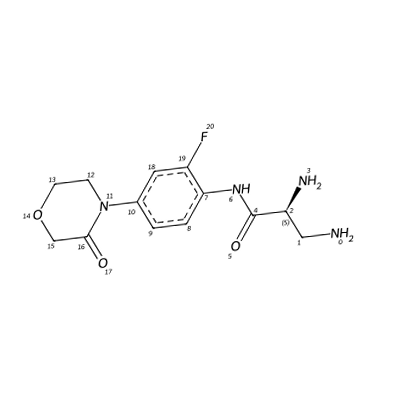 NC[C@H](N)C(=O)Nc1ccc(N2CCOCC2=O)cc1F